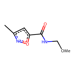 COCNC(=O)c1cc(C)no1